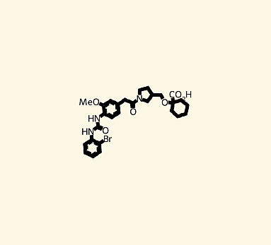 COc1cc(CC(=O)N2CCC(COC3(C(=O)O)CCCCC3)C2)ccc1NC(=O)Nc1ccccc1Br